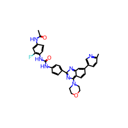 CC(=O)Nc1ccc(NC(=O)Nc2ccc(-c3nc(N4CCOCC4)c4ccc(-c5ccc(C)nc5)cc4n3)cc2)c(F)c1